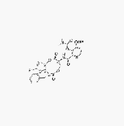 COc1ccnc(C(=O)N[C@H]2COC(=O)[C@H](Cc3ccccc3)[C@@H](OC(=O)C(C)C)[C@H](C)OC2=O)c1OC(=O)N(C)C